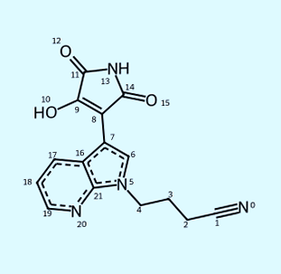 N#CCCCn1cc(C2=C(O)C(=O)NC2=O)c2cccnc21